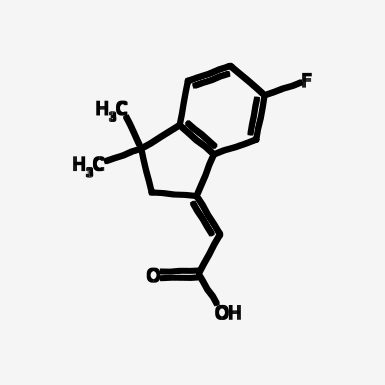 CC1(C)CC(=CC(=O)O)c2cc(F)ccc21